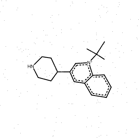 CC(C)(C)[n+]1cc(C2CCNCC2)cc2ccccc21